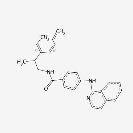 C=C/C=C\C(=C/C)C(C)CNC(=O)c1ccc(Nc2nccc3ccccc23)cc1